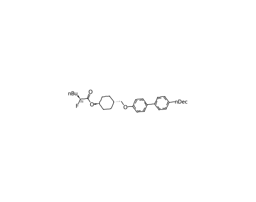 CCCCCCCCCCc1ccc(-c2ccc(OC[C@H]3CC[C@H](OC(=O)[C@@H](F)CCCC)CC3)cc2)cc1